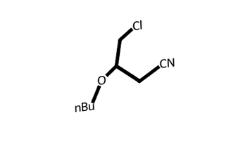 CCCCOC(CCl)CC#N